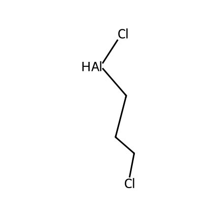 ClCC[CH2][AlH][Cl]